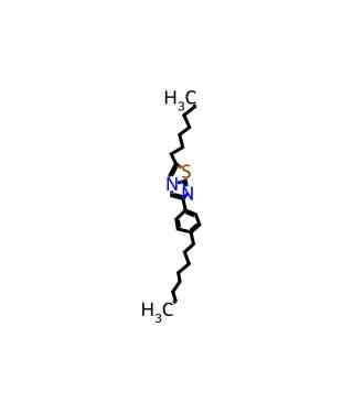 CCCCCCCCc1ccc(-c2cn3cc(CCCCCCC)sc3n2)cc1